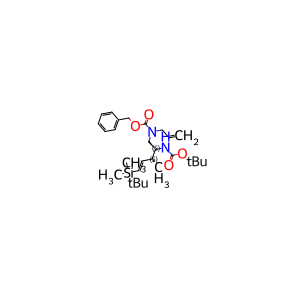 C=CCN(C[C@@H](NC(=O)OC(C)(C)C)[C@@H](C)C=C[Si](C)(C)C(C)(C)C)C(=O)OCc1ccccc1